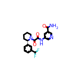 NC(=O)c1cncc(NC(=O)C(=O)N2CCCC[C@H]2c2cccc(C(F)F)c2)c1